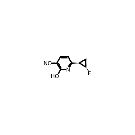 N#Cc1ccc([C@H]2C[C@@H]2F)nc1O